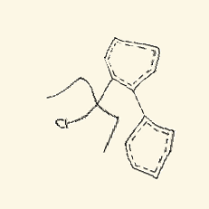 CCC(Cl)(CC)c1ccccc1-c1ccccc1